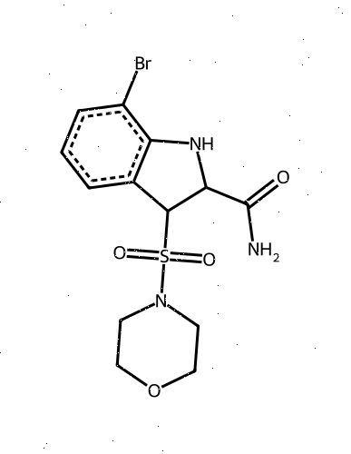 NC(=O)C1Nc2c(Br)cccc2C1S(=O)(=O)N1CCOCC1